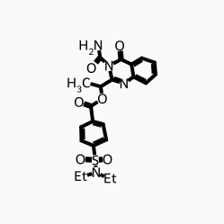 CCN(CC)S(=O)(=O)c1ccc(C(=O)OC(C)c2nc3ccccc3c(=O)n2C(N)=O)cc1